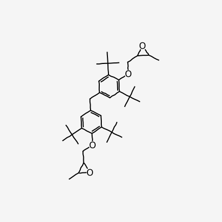 CC1OC1COc1c(C(C)(C)C)cc(Cc2cc(C(C)(C)C)c(OCC3OC3C)c(C(C)(C)C)c2)cc1C(C)(C)C